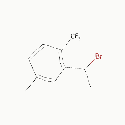 Cc1ccc(C(F)(F)F)c(C(C)Br)c1